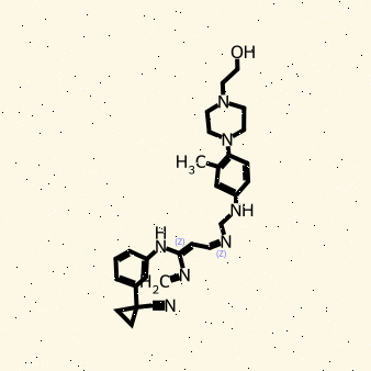 C=N/C(=C\C=N/CNc1ccc(N2CCN(CCO)CC2)c(C)c1)Nc1cccc(C2(C#N)CC2)c1